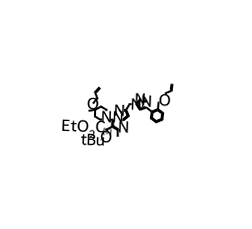 C=CCOCc1ccccc1-c1cn(Cc2cc3nc(C)c([C@H](OC(C)(C)C)C(=O)OCC)c(N4CCC(C)(OCC=C)CC4)n3n2)nn1